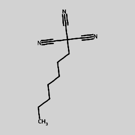 CCCCCCCC(C#N)(C#N)C#N